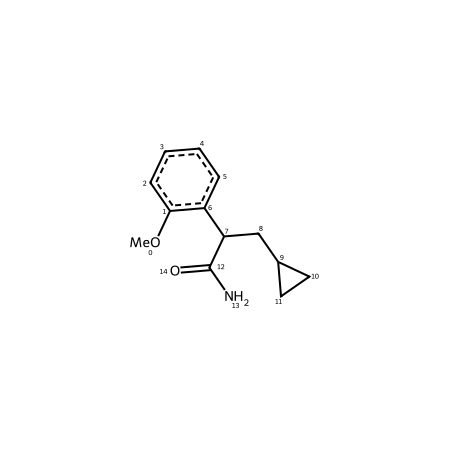 COc1ccccc1C(CC1CC1)C(N)=O